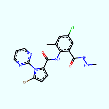 CNNC(=O)c1cc(Cl)cc(C)c1NC(=O)c1ccc(Br)n1-c1ncccn1